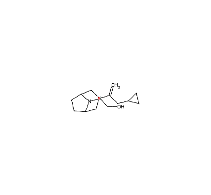 C=C(CC1CC1)N1CC2CCC(C1)N2CCO